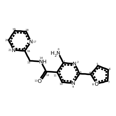 Nc1nc(-c2ccco2)ncc1C(=O)NCc1ncccn1